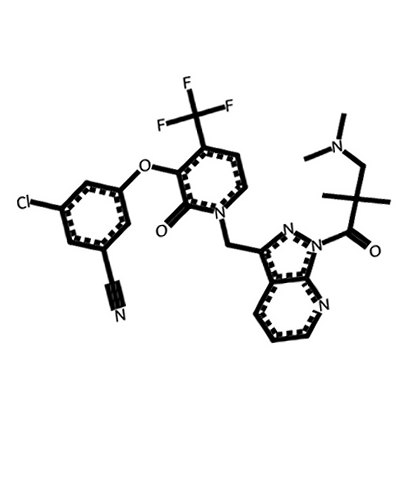 CN(C)CC(C)(C)C(=O)n1nc(Cn2ccc(C(F)(F)F)c(Oc3cc(Cl)cc(C#N)c3)c2=O)c2cccnc21